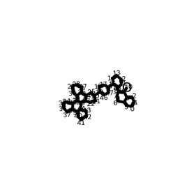 c1ccc2c(c1)ccc1c2oc2cccc(-c3ccc(-c4ccc5c(c4)c4ccccc4c4c6ccccc6c6ccccc6c54)cc3)c21